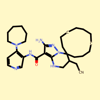 N#CCC1CNc2c(C(=O)Nc3cnccc3N3CCCCCC3)c(N)nn2C12CCCCCCCCCC2